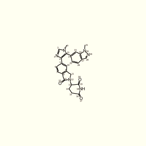 Cn1cnc(-c2ccc3c(c2)CN(C2CCC(=O)NC2=O)C3=O)c1-c1ccc2cnn(C)c2c1